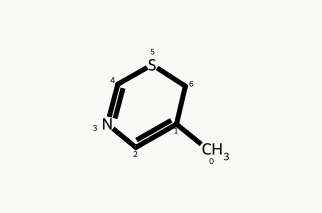 CC1=CN=CSC1